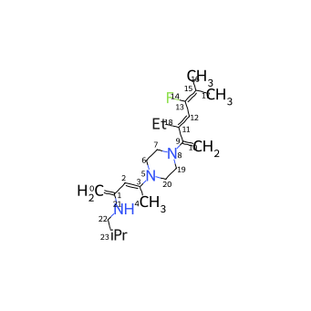 C=C(/C=C(\C)N1CCN(C(=C)/C(=C/C(F)=C(C)C)CC)CC1)NCC(C)C